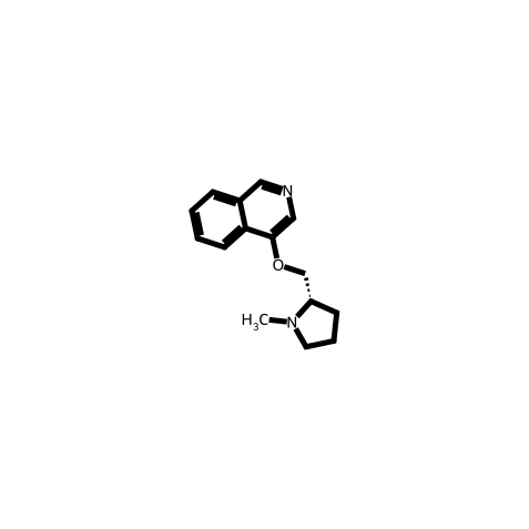 CN1CCC[C@H]1COc1cncc2ccccc12